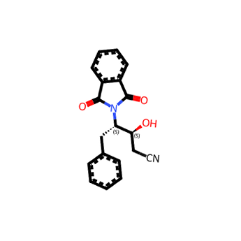 N#CC[C@H](O)[C@H](Cc1ccccc1)N1C(=O)c2ccccc2C1=O